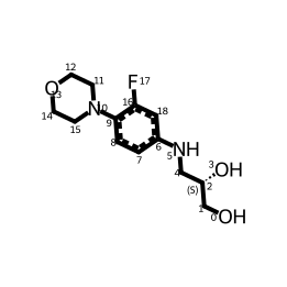 OC[C@@H](O)CNc1ccc(N2CCOCC2)c(F)c1